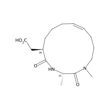 C[C@@H]1NC(=O)[C@@H](CC(=O)O)CCCC=CCCCN(C)C1=O